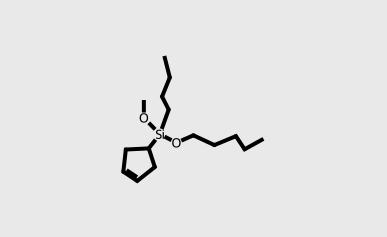 CCCCCO[Si](CCCC)(OC)C1CC=CC1